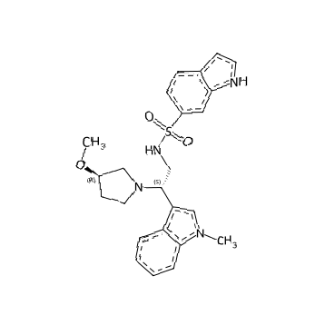 CO[C@@H]1CCN([C@H](CNS(=O)(=O)c2ccc3cc[nH]c3c2)c2cn(C)c3ccccc23)C1